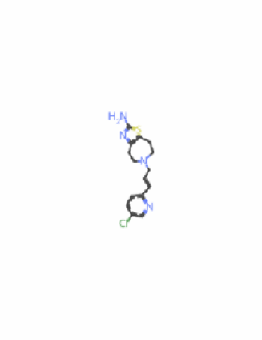 Nc1nc2c(s1)CCN(CC=Cc1ccc(Cl)cn1)CC2